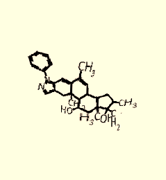 [CH2]C1(O)C(C)CC2C3C=C(C)C4=Cc5c(cnn5-c5ccccc5)CC4(C)C3C(O)CC21C